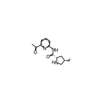 CC(=O)c1cccc(NC(=O)[C@@H]2C[C@@H](F)CN2)n1